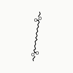 CCCOC(=O)CCCCCCCCCCCCCCC(=O)OCCC